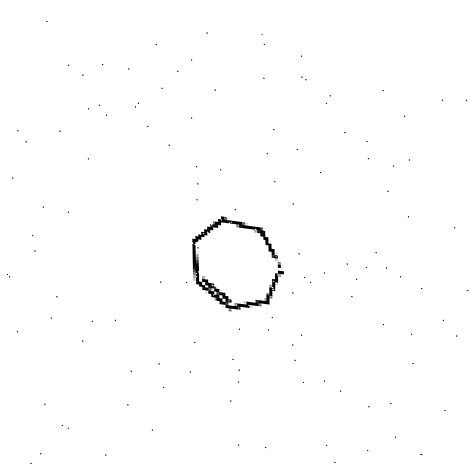 C1=CCSCCC1